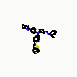 C=CC1=C(/N=C/[C@H]2C=CC(N(c3ccc(-c4ccc5ccccc5n4)cc3)c3ccc(-c4cc5ccccc5s4)cc3)=CC2)CCC=C1